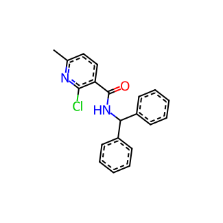 Cc1ccc(C(=O)NC(c2ccccc2)c2ccccc2)c(Cl)n1